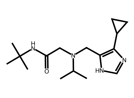 CC(C)N(CC(=O)NC(C)(C)C)Cc1[nH]cnc1C1CC1